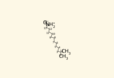 CC(C)CCCCCCCCCCC[NH2+][O-]